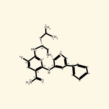 CC(C)C[C@H](CN)Nc1nc(Nc2cncc(-c3ccccc3)c2)c(C(N)=O)cc1F